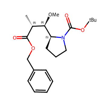 CO[C@H]([C@@H](C)C(=O)OCc1ccccc1)[C@@H]1CCCN1C(=O)OC(C)(C)C